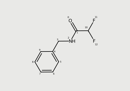 O=C(NCc1ccccc1)[C](F)F